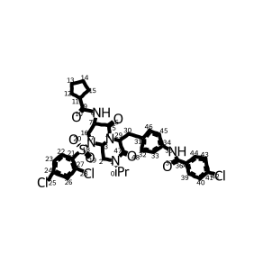 CC(C)N1CC2N(C(=O)C(NC(=O)C3CCCC3)CN2S(=O)(=O)c2ccc(Cl)cc2Cl)C(Cc2ccc(NC(=O)c3ccc(Cl)cc3)cc2)C1=O